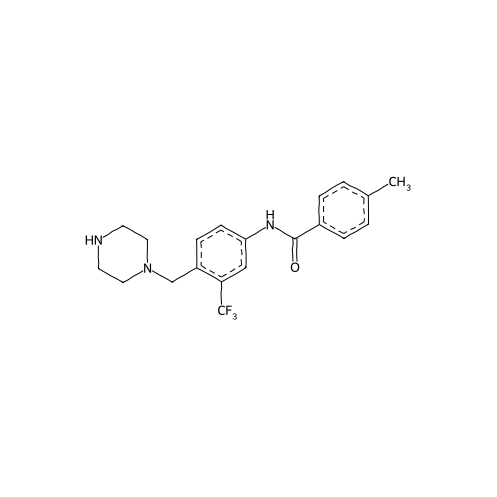 Cc1ccc(C(=O)Nc2ccc(CN3CCNCC3)c(C(F)(F)F)c2)cc1